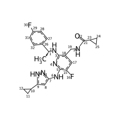 C[C@H](Nc1nc(Nc2cc(C3CC3)[nH]n2)c(F)cc1CNC(=O)C1CC1)c1ccc(F)cc1